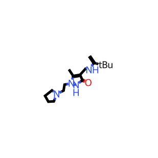 C=C(NCc1c(C)n(CCN2CCCC2)[nH]c1=O)C(C)(C)C